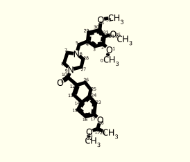 COc1cc(CN2CCN(C(=O)C3=Cc4ccc(OC(C)OC)cc4CC3)CC2)cc(OC)c1OC